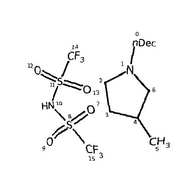 CCCCCCCCCCN1CCC(C)C1.O=S(=O)(NS(=O)(=O)C(F)(F)F)C(F)(F)F